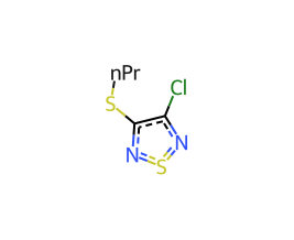 CCCSc1nsnc1Cl